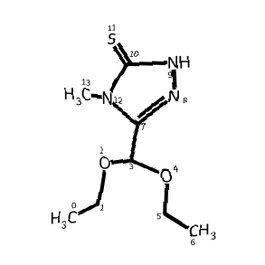 CCOC(OCC)c1n[nH]c(=S)n1C